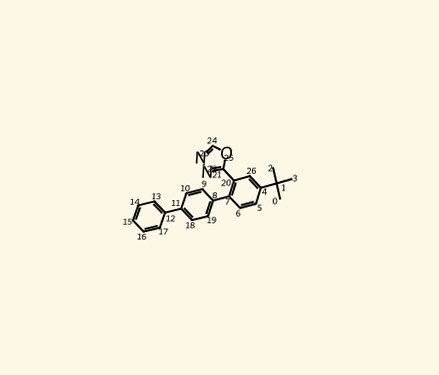 CC(C)(C)c1ccc(-c2ccc(-c3ccccc3)cc2)c(-c2nnco2)c1